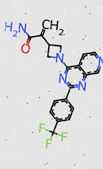 C=C(C(N)=O)C1CN(c2nc(-c3ccc(C(F)(F)F)cc3)nc3cnccc23)C1